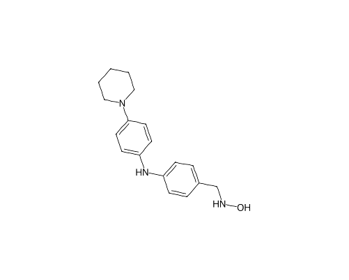 ONCc1ccc(Nc2ccc(N3CCCCC3)cc2)cc1